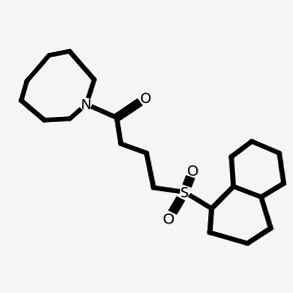 O=C(CCCS(=O)(=O)C1CCCC2CCCCC21)N1CCCCCCC1